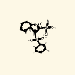 O=S(=O)(Cl)c1[nH]c2ccccc2c1S(=O)(=O)c1ccccc1